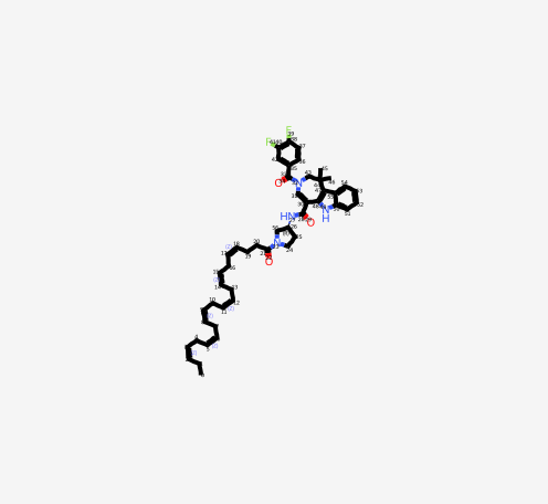 CC/C=C\C/C=C\C/C=C\C/C=C\C/C=C\C/C=C\CCC(=O)N1CC[C@@H](NC(=O)C2=CN(C(=O)c3ccc(F)c(F)c3)CC(C)(C)c3c2[nH]c2ccccc32)C1